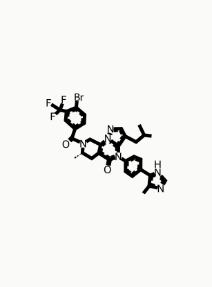 Cc1nc[nH]c1-c1ccc(-n2c(=O)c3c(n4ncc(CC(C)C)c24)CN(C(=O)c2ccc(Br)c(C(F)(F)F)c2)[C@@H](C)C3)cc1